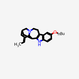 C/C=C1\CC2CC3c4[nH]c5ccc(OCCCC)cc5c4CCN(C2)C13